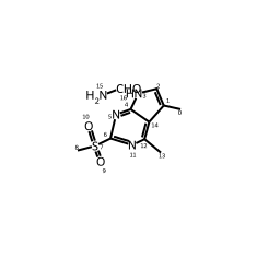 Cc1c[nH]c2nc(S(C)(=O)=O)nc(C)c12.NC=O